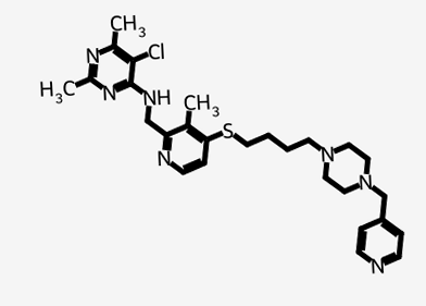 Cc1nc(C)c(Cl)c(NCc2nccc(SCCCCN3CCN(Cc4ccncc4)CC3)c2C)n1